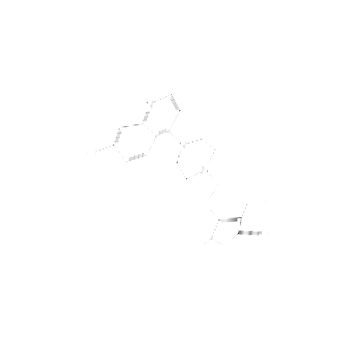 CC1=C(OCN2CCN(c3ccnc4cc(Cl)ccc34)CC2)C(C)SC1=O